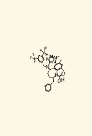 Cc1cc(C)c2c(c1)C(N(Cc1cc(C(F)(F)F)cc(C(F)(F)F)c1)c1nnn(C)n1)CCC(Cc1ccccc1)N2C(=O)O